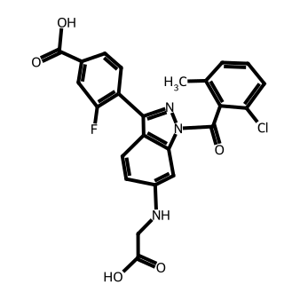 Cc1cccc(Cl)c1C(=O)n1nc(-c2ccc(C(=O)O)cc2F)c2ccc(NCC(=O)O)cc21